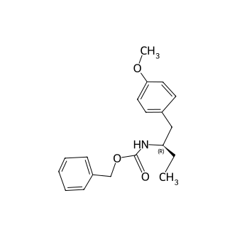 CC[C@H](Cc1ccc(OC)cc1)NC(=O)OCc1ccccc1